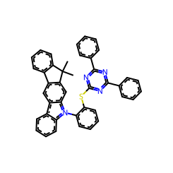 CC1(C)c2ccccc2-c2cc3c4ccccc4n(-c4ccccc4Sc4nc(-c5ccccc5)nc(-c5ccccc5)n4)c3cc21